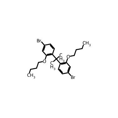 CCCCOc1cc(Br)ccc1C(C)(C)c1ccc(Br)cc1OCCCC